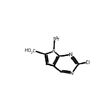 CCCn1c(C(=O)O)cc2cnc(Cl)nc21